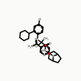 CC(C)(Oc1ccc(Cl)cc1C1CCCCC1)C(=O)NC1CC2CCC(C1)N2c1ccc(C(N)=O)cn1